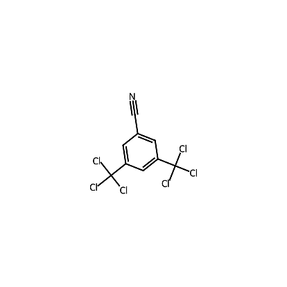 N#Cc1cc(C(Cl)(Cl)Cl)cc(C(Cl)(Cl)Cl)c1